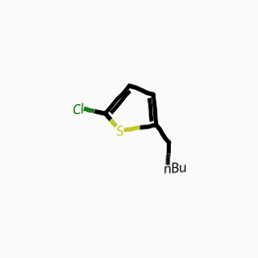 CCCCCc1ccc(Cl)s1